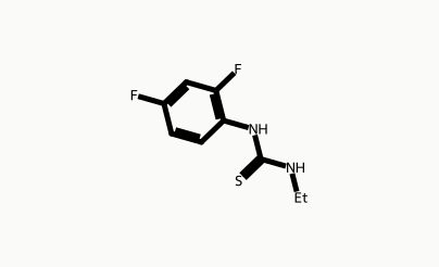 CCNC(=S)Nc1ccc(F)cc1F